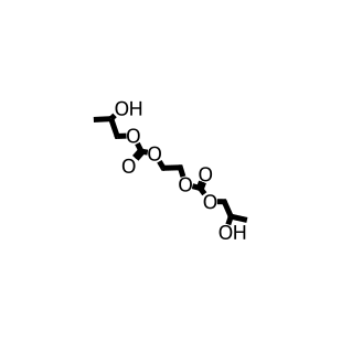 CC(O)COC(=O)OCCOC(=O)OCC(C)O